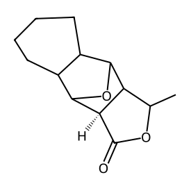 CC1OC(=O)[C@H]2C3OC(C4CCCCC43)C12